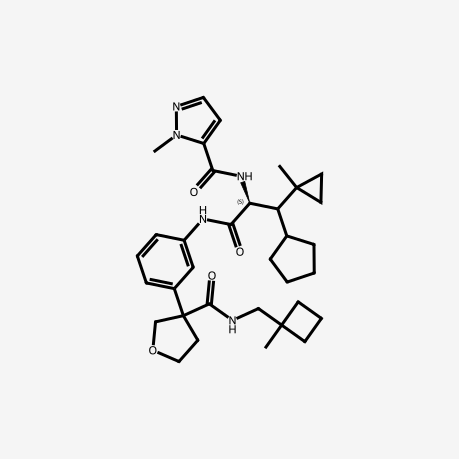 Cn1nccc1C(=O)N[C@H](C(=O)Nc1cccc(C2(C(=O)NCC3(C)CCC3)CCOC2)c1)C(C1CCCC1)C1(C)CC1